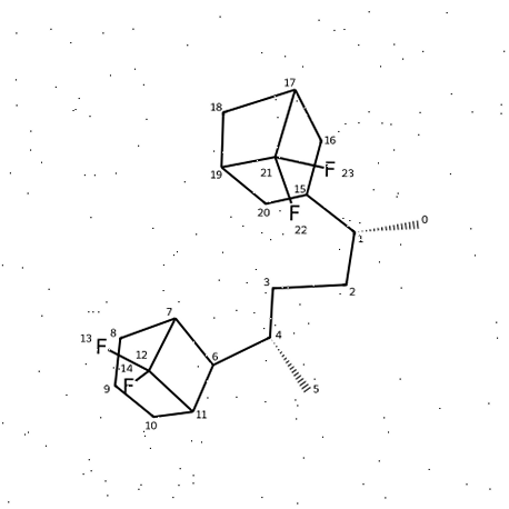 C[C@H](CC[C@H](C)C1C2CCCC1C2(F)F)C1CC2CC(C1)C2(F)F